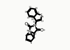 O=C1C2C3C=CC(C3)N2C(=O)N1c1csc2ccccc12